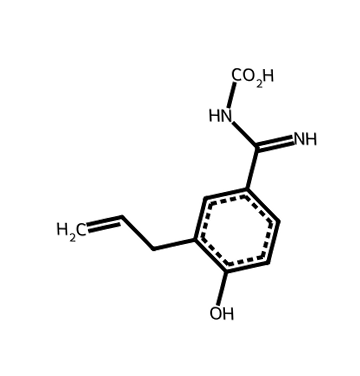 C=CCc1cc(C(=N)NC(=O)O)ccc1O